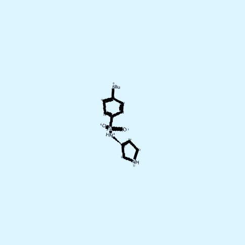 CC(C)(C)c1ccc(S(=O)(=O)N[C@H]2CCNC2)cc1